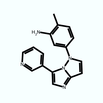 Cc1ccc(-n2ccc3ncc(-c4cccnc4)n32)cc1N